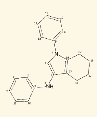 c1ccc(Nc2cn(-c3ccccc3)c3c2CCCC3)cc1